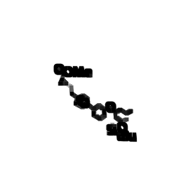 C=C/C=C(\C=C(/C)O[Si](C)(C)C(C)(C)C)Oc1cccc(C23CCC(CC[C@@H]4C[C@H]4C(=O)OC)(CC2)CO3)c1